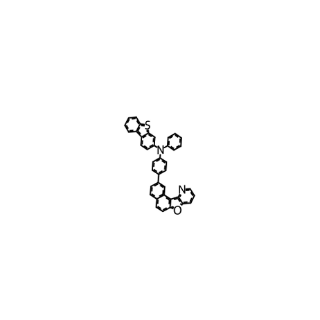 c1ccc(N(c2ccc(-c3ccc4ccc5oc6cccnc6c5c4c3)cc2)c2ccc3c(c2)sc2ccccc23)cc1